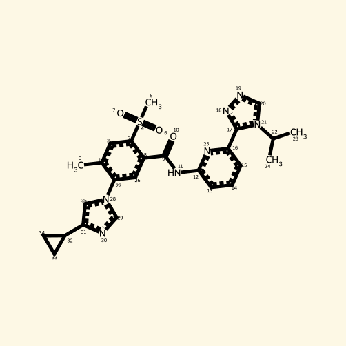 Cc1cc(S(C)(=O)=O)c(C(=O)Nc2cccc(-c3nncn3C(C)C)n2)cc1-n1cnc(C2CC2)c1